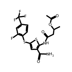 CC(=O)OC(C)CC(=O)Nc1sc(Sc2ccc(C(F)(F)F)cc2F)cc1C(N)=O